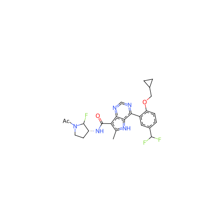 CC(=O)N1CC[C@@H](NC(=O)c2c(C)[nH]c3c(-c4cc(C(F)F)ccc4OCC4CC4)ncnc23)C1F